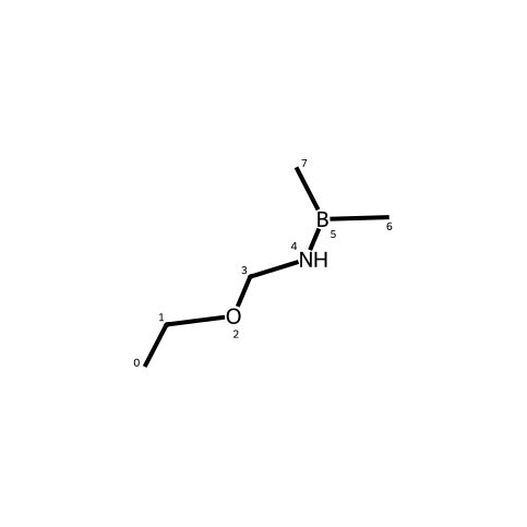 CCOCNB(C)C